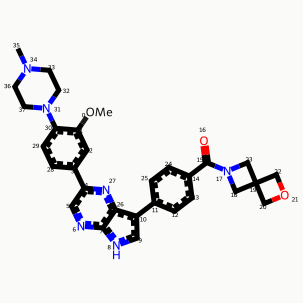 COc1cc(-c2cnc3[nH]cc(-c4ccc(C(=O)N5CC6(COC6)C5)cc4)c3n2)ccc1N1CCN(C)CC1